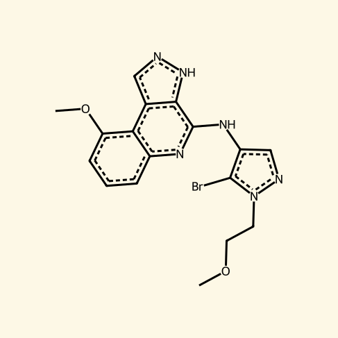 COCCn1ncc(Nc2nc3cccc(OC)c3c3cn[nH]c23)c1Br